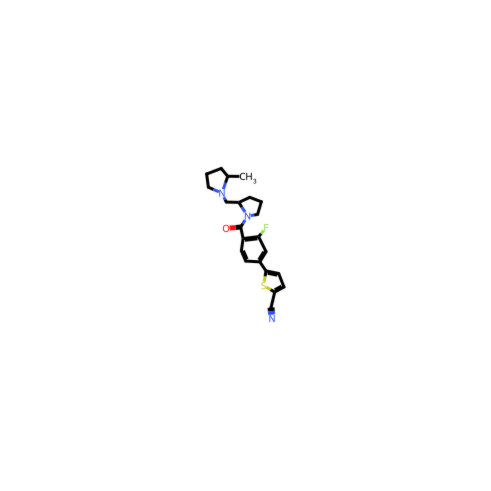 CC1CCCN1CC1CCCN1C(=O)c1ccc(-c2ccc(C#N)s2)cc1F